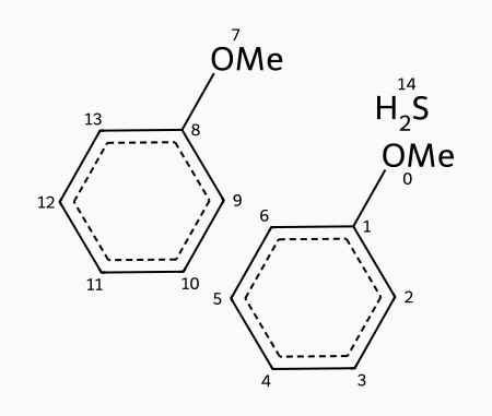 COc1ccccc1.COc1ccccc1.S